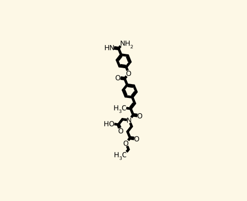 CCOC(=O)CCN(CC(=O)O)C(=O)/C(C)=C/c1ccc(C(=O)Oc2ccc(C(=N)N)cc2)cc1